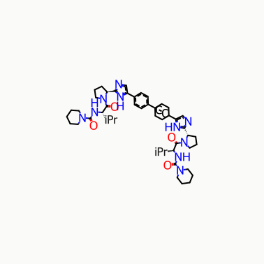 CC(C)[C@H](NC(=O)N1CCCCC1)C(=O)N1CCC[C@H]1c1ncc(-c2ccc(C34CCC(c5cnc([C@@H]6CCCN6C(=O)[C@@H](NC(=O)N6CCCCC6)C(C)C)[nH]5)(CC3)CC4)cc2)[nH]1